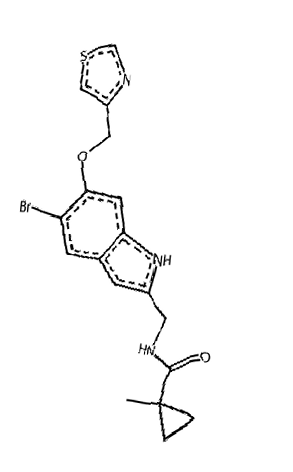 CC1(C(=O)NCc2cc3cc(Br)c(OCc4cscn4)cc3[nH]2)CC1